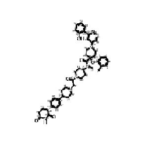 Cc1ccccc1OC1(C(=O)N(C)C2CCN(C(=O)CN3CCC(c4ccc([C@H]5CCC(=O)NC5=O)cc4)CC3)CC2)CCN(c2cnnc(-c3ccccc3O)c2)CC1